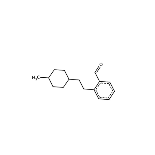 CC1CCC(CCc2ccccc2C=O)CC1